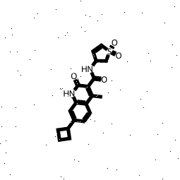 Cc1c(C(=O)NC2C=CS(=O)(=O)C2)c(=O)[nH]c2cc(C3CCC3)ccc12